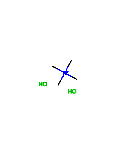 C[N+](C)(C)C.Cl.Cl